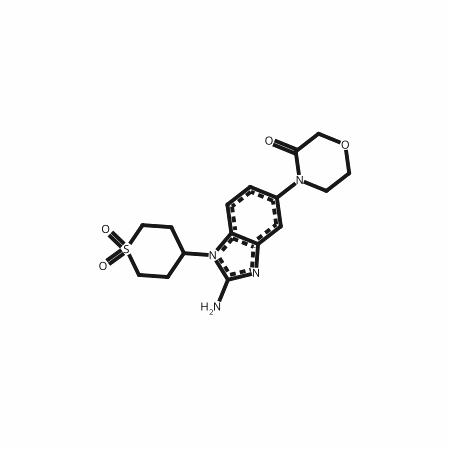 Nc1nc2cc(N3CCOCC3=O)ccc2n1C1CCS(=O)(=O)CC1